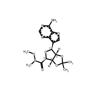 CON(C)C(=O)[C@H]1O[C@@H](c2coc3c(N)ncnc23)[C@@H]2OC(C)(C)O[C@@H]21